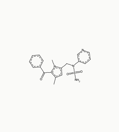 Cc1cc(CN(c2cccnc2)S(N)(=O)=O)n(C)c1C(=O)c1ccccc1